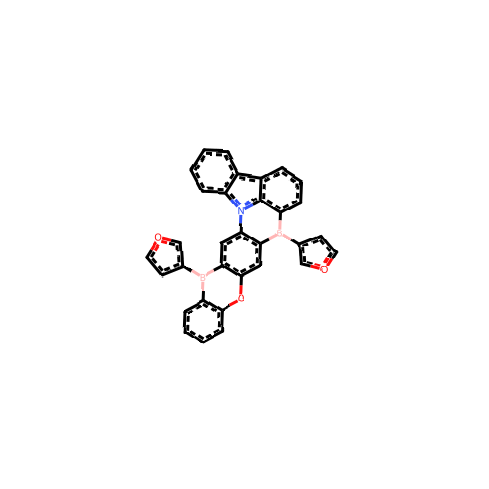 c1ccc2c(c1)Oc1cc3c(cc1B2c1ccoc1)-n1c2ccccc2c2cccc(c21)B3c1ccoc1